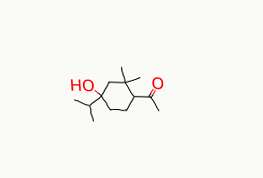 CC(=O)C1CCC(O)(C(C)C)CC1(C)C